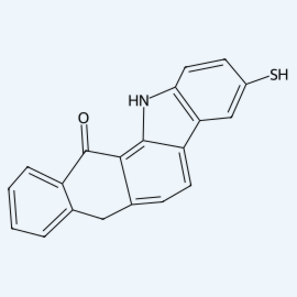 O=C1c2ccccc2Cc2ccc3c([nH]c4ccc(S)cc43)c21